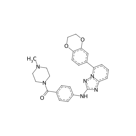 CN1CCN(C(=O)c2ccc(Nc3nc4cccc(-c5ccc6c(c5)OCCO6)n4n3)cc2)CC1